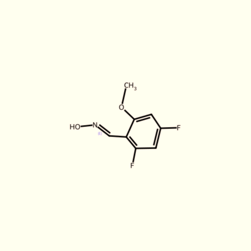 COc1cc(F)cc(F)c1/C=N/O